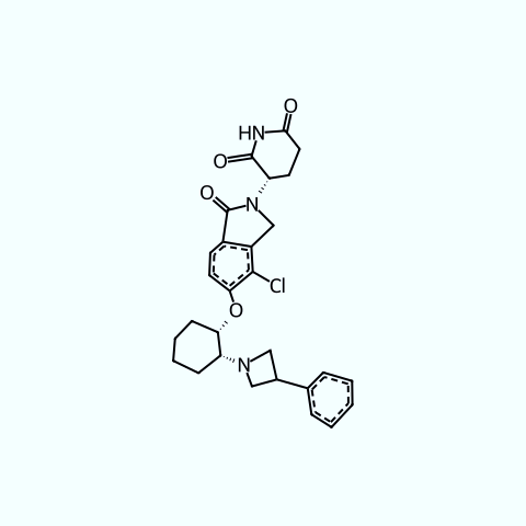 O=C1CC[C@H](N2Cc3c(ccc(O[C@H]4CCCC[C@H]4N4CC(c5ccccc5)C4)c3Cl)C2=O)C(=O)N1